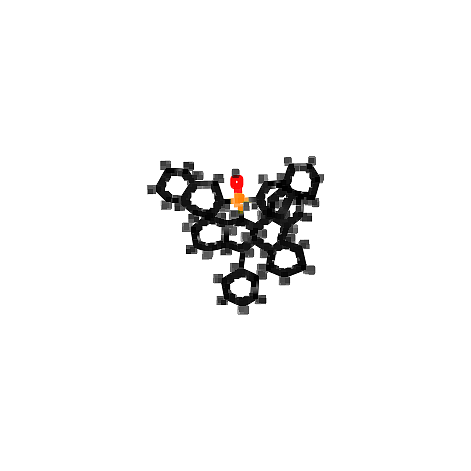 O=P(c1ccc2ccccc2c1)(c1ccc2ccccc2c1)c1c2ccccc2c(-c2ccccc2)c2c3ccccc3c3ccccc3c12